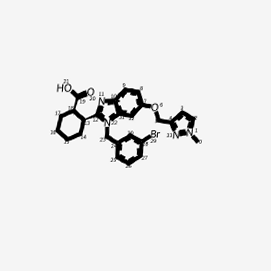 Cn1ccc(COc2ccc3nc([C@H]4CCCC[C@H]4C(=O)O)n(Cc4cccc(Br)c4)c3c2)n1